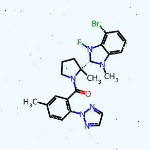 Cc1ccc(-n2nccn2)c(C(=O)N2CCCC2(C)[C@H]2N(C)c3cccc(Br)c3N2F)c1